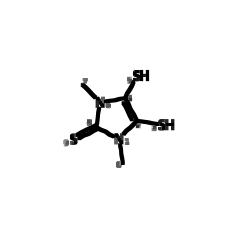 Cn1c(S)c(S)n(C)c1=S